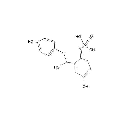 O=P(O)(O)N=C1CC=C(O)C=C1C(O)Cc1ccc(O)cc1